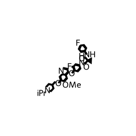 COc1cc2c(Oc3ccc(NC(=O)C4(C(=O)Nc5ccc(F)cc5)CC4)cc3F)ccnc2cc1OCC1CCN(C(C)C)CC1